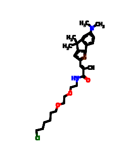 CN(C)c1ccc2c(c1)C(C)(C)c1cc(/C=C(\C#N)C(=O)NCCOCCOCCCCCCCl)sc1-2